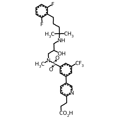 CN(CC(O)CNC(C)(C)CCCc1c(F)cccc1F)S(=O)(=O)c1cc(-c2ccc(CCC(=O)O)nc2)cc(C(F)(F)F)c1